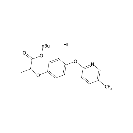 CCCCOC(=O)C(C)Oc1ccc(Oc2ccc(C(F)(F)F)cn2)cc1.I